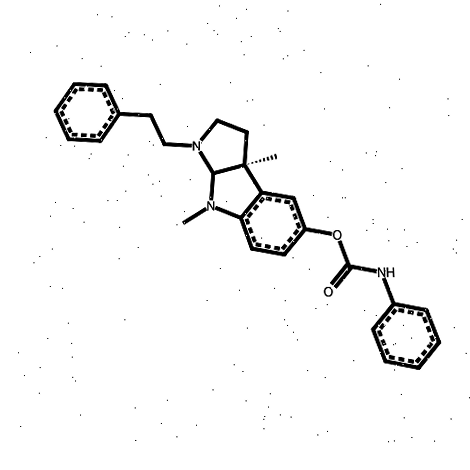 CN1c2ccc(OC(=O)Nc3ccccc3)cc2[C@]2(C)CCN(CCc3ccccc3)C12